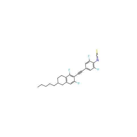 CCCCCC1CCc2c(cc(F)c(C#Cc3cc(F)c(N=C=S)c(F)c3)c2F)C1